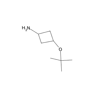 CC(C)(C)OC1CC(N)C1